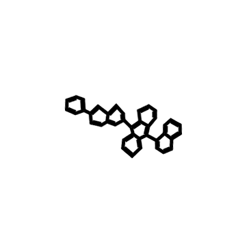 c1ccc(-c2ccc3cc(-c4c5ccccc5c(-c5cccc6ccccc56)c5ccccc45)ccc3c2)cc1